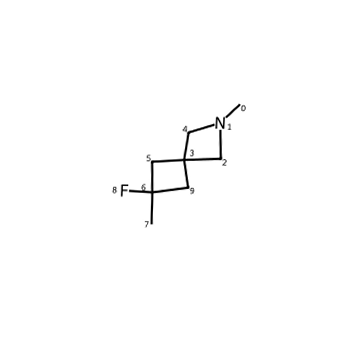 CN1CC2(C1)CC(C)(F)C2